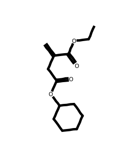 C=C(CC(=O)OC1CCCCC1)C(=O)OCC